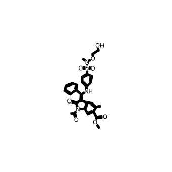 COC(=O)c1cc2c(cc1C)/C(=C(\Nc1ccc(S(=O)(=O)N(C)OCCO)cc1)c1ccccc1)C(=O)N2C(C)=O